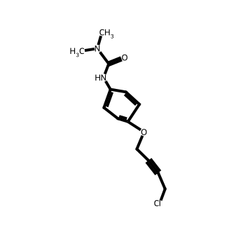 CN(C)C(=O)Nc1ccc(OCC#CCCl)cc1